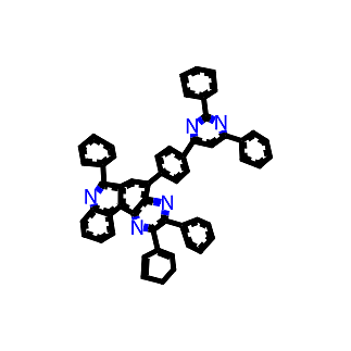 C1=CC(c2nc3c(nc2-c2ccccc2)c(-c2ccc(-c4cc(-c5ccccc5)nc(-c5ccccc5)n4)cc2)cc2c(-c4ccccc4)nc4ccccc4c23)=CCC1